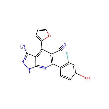 N#Cc1c(-c2ccc(O)cc2F)nc2[nH]nc(N)c2c1-c1ccco1